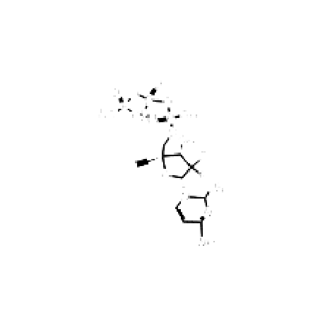 C#C[C@]1(COP(=O)(O)OP(=O)(O)OP(=O)(O)O)O[C@@H](N2C=CC(N)=NC2O)C(F)(F)[C@@H]1O